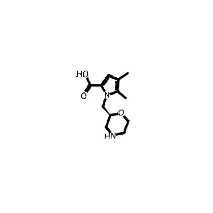 Cc1cc(C(=O)O)n(C[C@@H]2CNCCO2)c1C